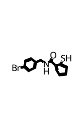 O=C(NCc1ccc(Br)cc1)c1ccccc1S